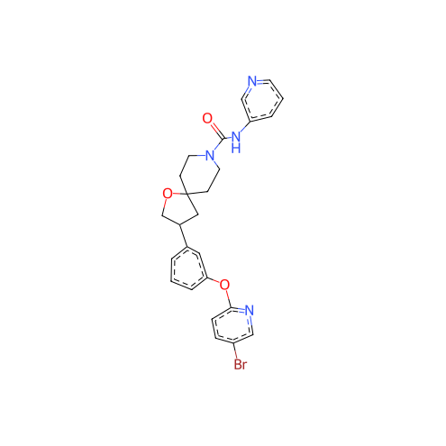 O=C(Nc1cccnc1)N1CCC2(CC1)CC(c1cccc(Oc3ccc(Br)cn3)c1)CO2